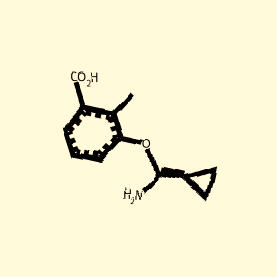 Cc1c(OC(N)=C2CC2)cccc1C(=O)O